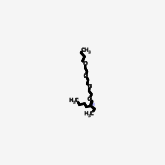 CCCCOCCOCCOCCO/C=C(/CC)CCCC